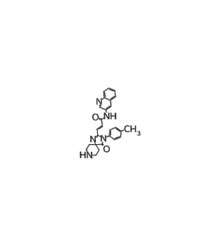 Cc1ccc(N2C(=O)C3(CCNCC3)N=C2/C=C/C(=O)Nc2cnc3ccccc3c2)cc1